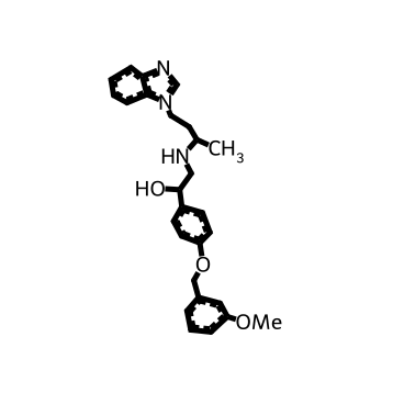 COc1cccc(COc2ccc(C(O)CNC(C)CCn3cnc4ccccc43)cc2)c1